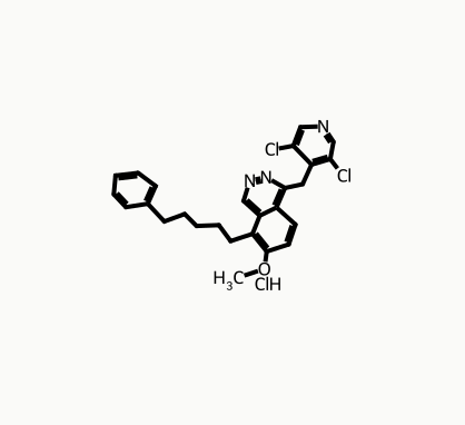 COc1ccc2c(Cc3c(Cl)cncc3Cl)nncc2c1CCCCCc1ccccc1.Cl